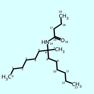 CCCCCCC(C)(CCCCCC)NC(=O)CCC